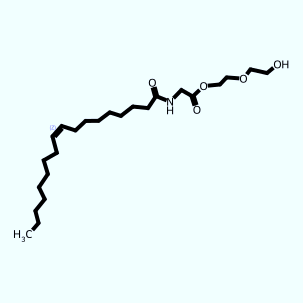 CCCCCCCC/C=C\CCCCCCCC(=O)NCC(=O)OCCOCCO